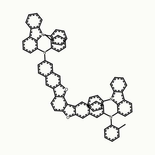 Cc1ccccc1N(c1ccc2cc3c(cc2c1)oc1c3ccc2oc3cc4cc(N(c5ccccc5C)c5cccc6c7ccccc7n(-c7ccccc7)c56)ccc4cc3c21)c1cccc2c3ccccc3n(-c3ccccc3)c12